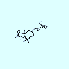 CC(=O)ON1C(C)(C)CCC(CO[N+](=O)[O-])CC1(C)C